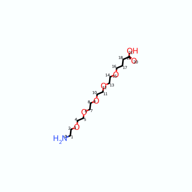 NCCOCCOCCOCCOCCOCCCC(=O)O